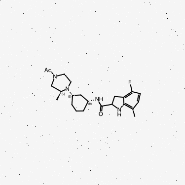 CC(=O)N1CCN([C@H]2CCC[C@@H](NC(=O)C3Cc4c(F)ccc(C)c4N3)C2)[C@@H](C)C1